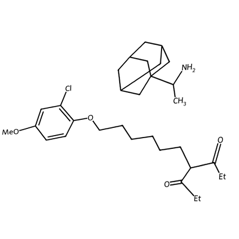 CC(N)C12CC3CC(CC(C3)C1)C2.CCC(=O)C(CCCCCCOc1ccc(OC)cc1Cl)C(=O)CC